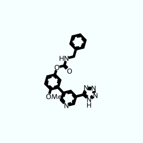 COc1ccc(OC(=O)NCc2ccccc2)cc1-c1cncc(-c2nnn[nH]2)c1